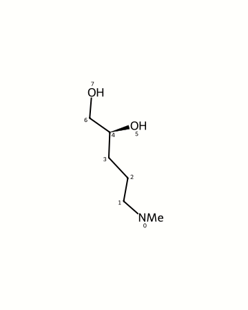 CNCCC[C@H](O)CO